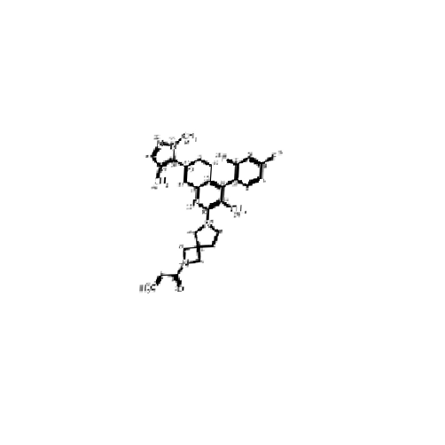 C=CC(=O)N1CC2(CCN(c3nc4c(c(-c5ccc(F)cc5F)c3C)CC[C@H](c3c(C)cnn3C)C4)C2)C1